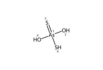 O[As](O)(=S)S